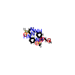 C=CS(=O)(=O)Nc1cccc(Nc2nc(Nc3ccc(OCCOC)cc3)ncc2[S+](C)[O-])c1